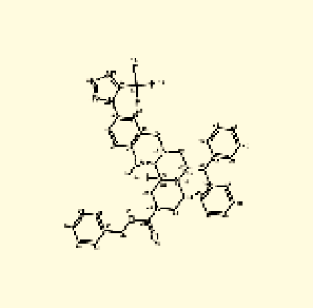 COc1ccc(-n2nnnc2C(F)(F)F)cc1CN1C[C@H]2CN(C(=O)OCc3ccccc3)CCN2[C@@H](C(c2ccccc2)c2ccccc2)C1